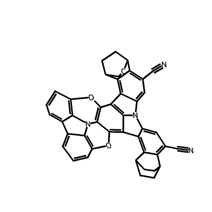 N#Cc1cc2c(c3c1C1CCC3CC1)c1c3oc4cccc5c6cccc7oc(c8c9c%10c(c(C#N)cc9n2c18)C1CCC%10CC1)c3n(c45)c76